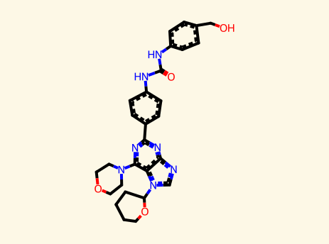 O=C(Nc1ccc(CO)cc1)Nc1ccc(-c2nc(N3CCOCC3)c3c(ncn3C3CCCCO3)n2)cc1